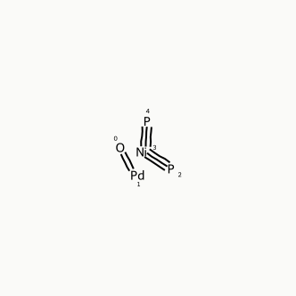 [O]=[Pd].[P]#[Ni]#[P]